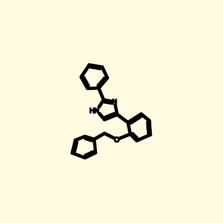 c1ccc(COc2ccccc2-c2c[nH]c(-c3ccccc3)n2)cc1